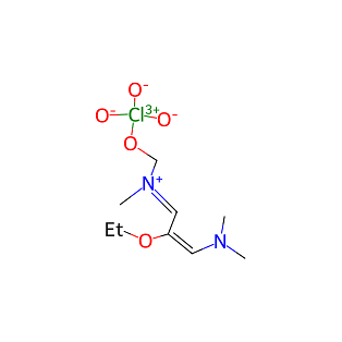 CCOC(=CN(C)C)C=[N+](C)CO[Cl+3]([O-])([O-])[O-]